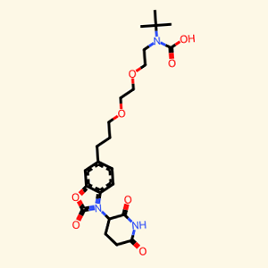 CC(C)(C)N(CCOCCOCCCc1ccc2c(c1)oc(=O)n2C1CCC(=O)NC1=O)C(=O)O